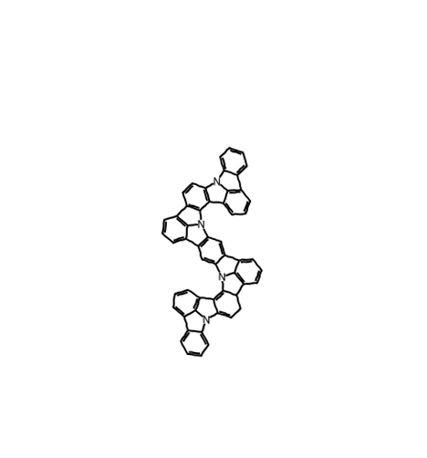 C1=c2c(c3cccc4c5ccccc5n2c34)=C2C(C1)c1cccc3c4cc5c(cc4n2c13)c1cccc2c3ccc4c(c6cccc7c8ccccc8n4c76)c3n5c12